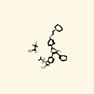 CC(C)S(=O)(=O)n1c(N)nc2ccc(-c3nc(-c4ccc(OCCN5CCCCC5)cc4)[nH]c3-c3ccccc3)cc21.O=C(O)C(F)(F)F